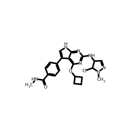 CNC(=O)c1ccc(-c2c[nH]c3nc(NC4C=NN(C)C4Cl)nc(OC4CCC4)c23)cc1